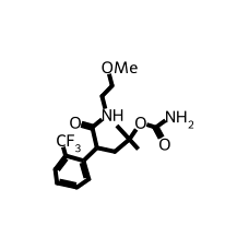 COCCNC(=O)C(CC(C)(C)OC(N)=O)c1ccccc1C(F)(F)F